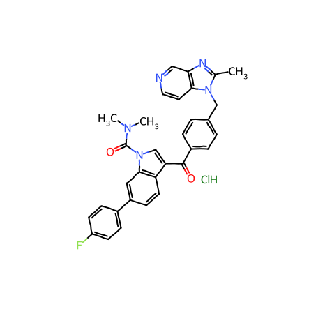 Cc1nc2cnccc2n1Cc1ccc(C(=O)c2cn(C(=O)N(C)C)c3cc(-c4ccc(F)cc4)ccc23)cc1.Cl